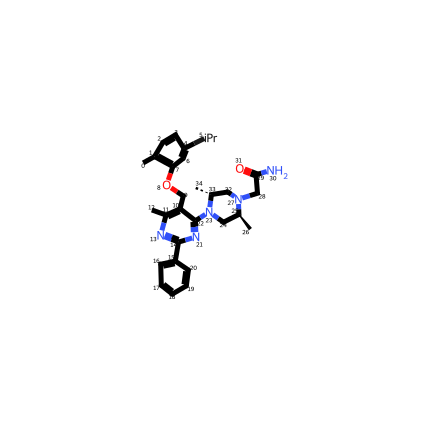 Cc1ccc(C(C)C)cc1OCc1c(C)nc(-c2ccccc2)nc1N1C[C@H](C)N(CC(N)=O)C[C@H]1C